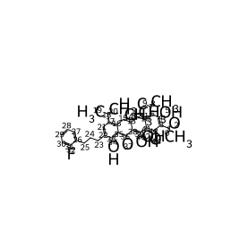 CC(=O)C1=C(O)C(C(C)C)[C@@]2(C)C[C@@]3(C)Cc4c(C(C)C)cc(CCCc5ccccc5F)c(O)c4C(=O)C3=C(O)[C@@]2(O)C1=O